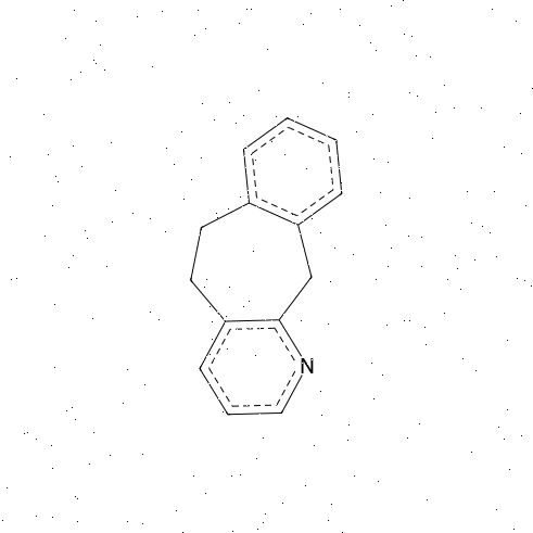 c1ccc2c(c1)CCc1cccnc1C2